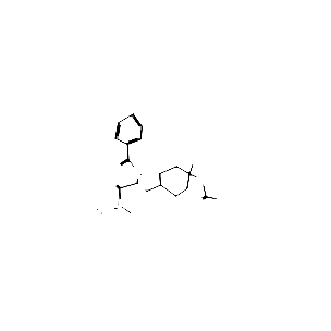 CN(C#N)C(=O)[C@H](CC1CCC(C)(OC(=O)C(F)(F)F)CC1)NC(=O)c1ccccc1